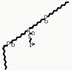 CCCCCCCC/C=C\COC(=O)CCCCCCCN(CCCCCCCC(=O)OC/C=C/CCCCCCCC)C(=O)SCCN(C)C